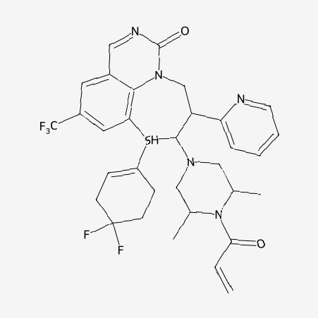 C=CC(=O)N1C(C)CN(C2C(c3ccccn3)Cn3c(=O)ncc4cc(C(F)(F)F)cc(c43)[SH]2C2=CCC(F)(F)CC2)CC1C